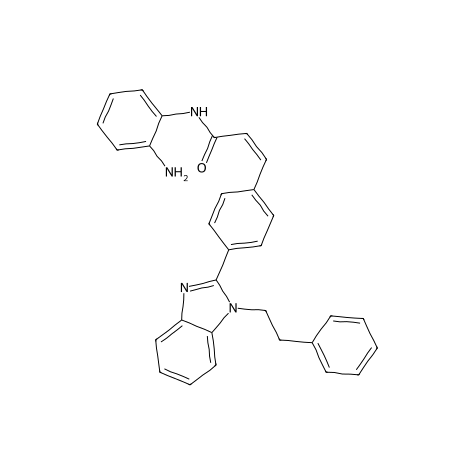 Nc1ccccc1NC(=O)/C=C\c1ccc(-c2nc3ccccc3n2CCc2ccccc2)cc1